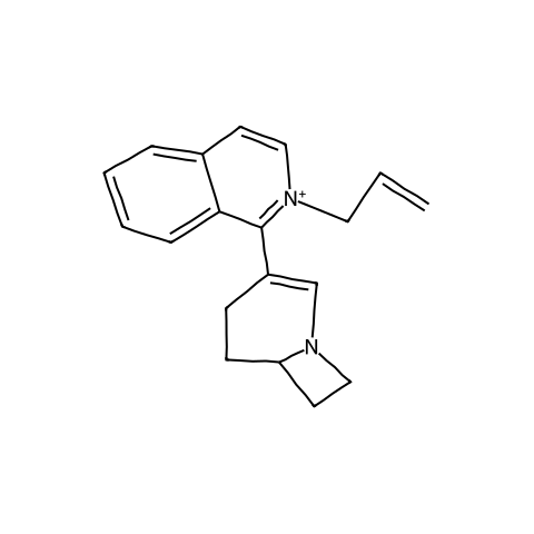 C=CC[n+]1ccc2ccccc2c1C1=CN2CCC2CC1